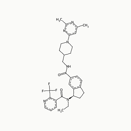 CCN(C(=O)c1cccnc1C(F)(F)F)[C@@H]1CCc2ccc(C(=O)NCC3CCN(c4cc(C)nc(C)n4)CC3)cc21